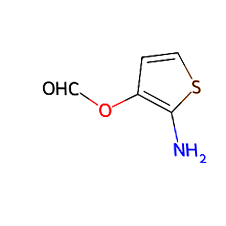 Nc1sccc1OC=O